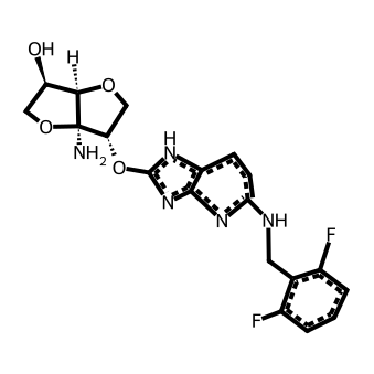 N[C@]12OC[C@@H](O)[C@H]1OC[C@@H]2Oc1nc2nc(NCc3c(F)cccc3F)ccc2[nH]1